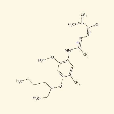 C=C(C)/C(Cl)=C\N=C(/C)Nc1cc(C)c(OC(CC)CCCC)cc1OC